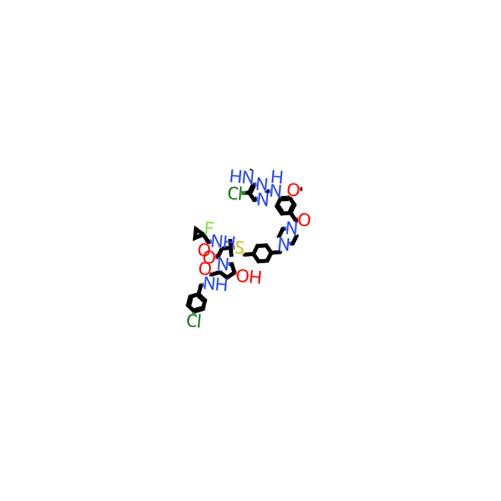 CNc1nc(Nc2ccc(C(=O)N3CCN(CC4CCC(CSC(C)(C)C(NC(=O)C5(F)CC5)C(=O)N5CC(O)CC5C(=O)NCc5ccc(Cl)cc5)CC4)CC3)cc2OC)ncc1Cl